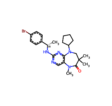 C[C@H](Nc1ncc2c(n1)N(C1CCCC1)CC(C)(C)C(=O)N2C)c1ccc(Br)cc1